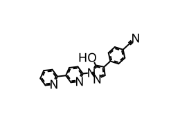 N#Cc1ccc(-c2cnn(-c3ccc(-c4ccccn4)cn3)c2O)cc1